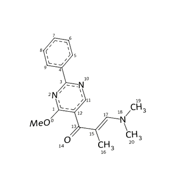 COc1nc(-c2ccccc2)ncc1C(=O)C(C)=CN(C)C